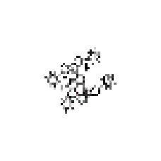 Cc1nc(C)nc(-c2ccc3c4ccc(-c5nc(C)nc(C)n5)cc4n(-c4cc(-c5c(C#N)cccc5C(F)(F)F)c(-n5c6cc(-c7nc(C)nc(C)n7)ccc6c6ccc(-c7nc(C)nc(C)n7)cc65)cc4C#N)c3c2)n1